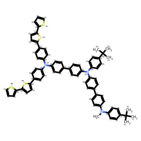 CN(c1ccc(-c2ccc(N(c3ccc(-c4ccc(N(c5ccc(-c6ccc(-c7cccs7)s6)cc5)c5ccc(-c6ccc(-c7cccs7)s6)cc5)cc4)cc3)c3ccc(C(C)(C)C)cc3)cc2)cc1)c1ccc(C(C)(C)C)cc1